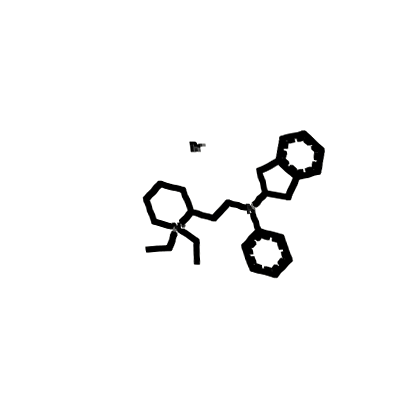 CC[N+]1(CC)CCCCC1CCN(c1ccccc1)C1Cc2ccccc2C1.[Br-]